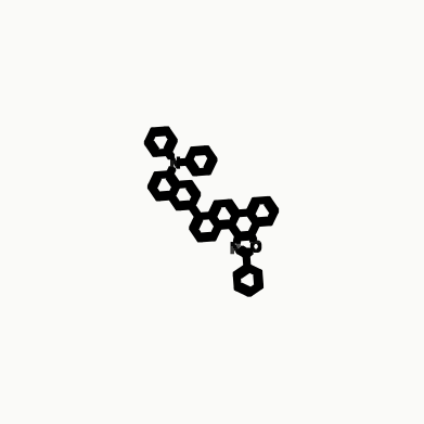 c1ccc(-c2nc3c(o2)c2ccccc2c2ccc4c(-c5ccc6c(N(c7ccccc7)c7ccccc7)cccc6c5)cccc4c23)cc1